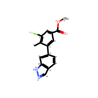 Cc1c(F)cc(C(=O)OC(C)(C)C)cc1-c1ccc2cn[nH]c2c1